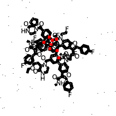 CCOC(=O)CC1C(=O)NCCN1C(=O)c1cc(CS(=O)(=O)N(CCF)c2cc3oc(-c4ccc(F)cc4)c(C(=O)NC)c3cc2-c2cc(C(=O)N3CCNC(=O)C34CCCC4)ccc2CS(=O)(=O)N(CCF)c2cc3oc(-c4ccc(F)cc4)c(C(=O)NC)c3cc2-c2cccc(C(=O)N3CC(F)(F)C(F)(F)C3)c2)cc(-c2cc3c(C(=O)NC)c(-c4ccc(F)cc4)oc3cc2N(CCF)S(C)(=O)=O)c1